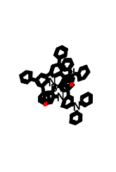 c1ccc(-c2cc(-c3ccccc3)c3c(c2)c2cc(-c4ccccc4)cc(-c4ccccc4)c2n3B2c3ccccc3-n3c4ccc(N(c5ccccc5)c5ccccc5)cc4c4cc(N(c5ccccc5)c5ccccc5)cc2c43)cc1